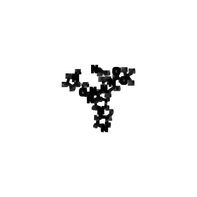 Cc1cnccc1N1CCc2c(nc(OC[C@@H]3CCCN3C)nc2N2CCN(C(=O)OC(C)(C)C)[C@@H](CC#N)C2)C1